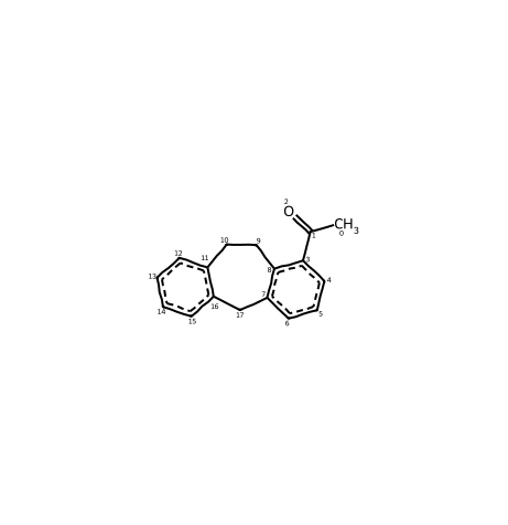 CC(=O)c1cccc2c1CCc1ccccc1C2